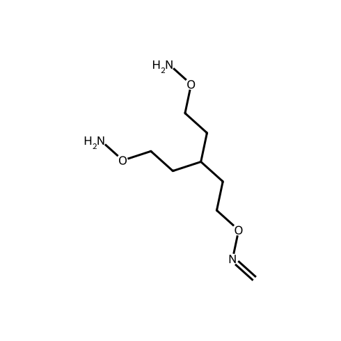 C=NOCCC(CCON)CCON